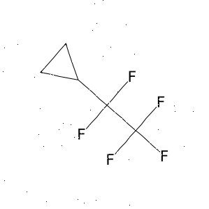 FC(F)(F)C(F)(F)C1CC1